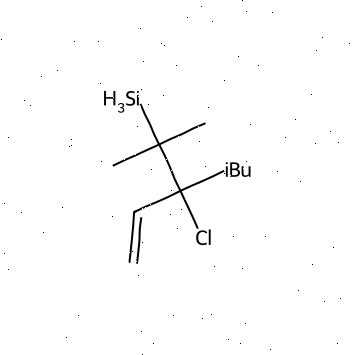 C=CC(Cl)(C(C)CC)C(C)(C)[SiH3]